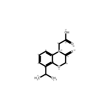 CC(C)c1cccc2c1OCC(=S)N2CC(=O)O